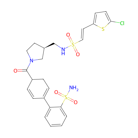 NS(=O)(=O)c1ccccc1C1=CCC(C(=O)N2CC[C@@H](CNS(=O)(=O)/C=C/c3ccc(Cl)s3)C2)C=C1